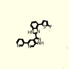 Fc1ccc(-c2cccc3[nH]c(-c4n[nH]c5cnc(-c6cccnc6)cc45)nc23)s1